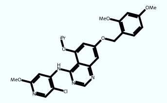 COc1ccc(COc2cc(OC(C)C)c3c(Nc4cc(OC)ncc4Cl)ncnc3c2)c(OC)c1